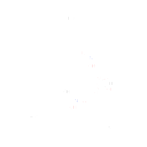 CCCCCCCCCCC(O)CN(CCCCCOC(=O)CC(C)(O)CC(=O)OCCCCCN(CC(O)CCCCCCCCCC)CC(O)CCCCCCCCCC)CC(O)CCCCCCCCCC